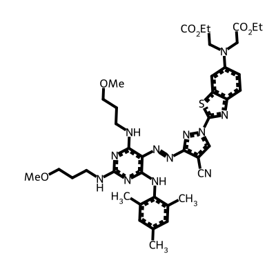 CCOC(=O)CN(CC(=O)OCC)c1ccc2nc(-n3cc(C#N)c(N=Nc4c(NCCCOC)nc(NCCCOC)nc4Nc4c(C)cc(C)cc4C)n3)sc2c1